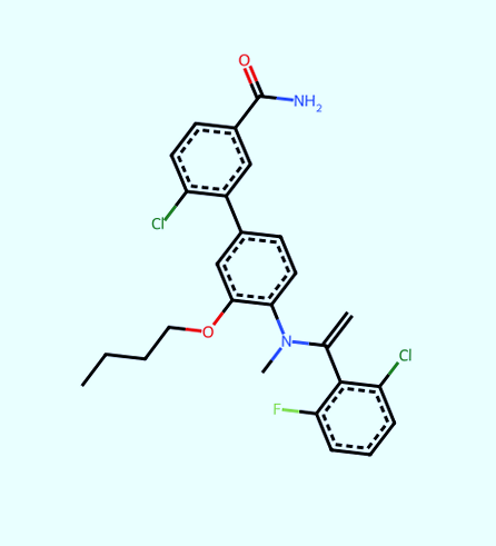 C=C(c1c(F)cccc1Cl)N(C)c1ccc(-c2cc(C(N)=O)ccc2Cl)cc1OCCCC